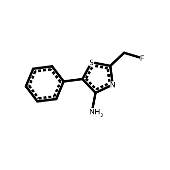 Nc1nc(CF)sc1-c1ccccc1